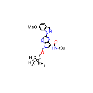 COc1ccc2cnn(-c3cnc4c(n3)c(C(=O)NC(C)(C)C)cn4COCC[Si](C)(C)C)c2c1